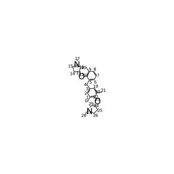 Cc1cc(Cc2cccc(C)c2OC2CCN(C)C2)cc(C)c1OC1CCN(C)C1